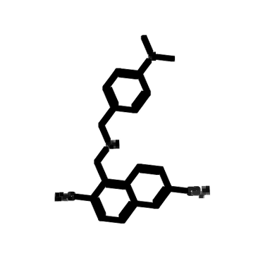 COc1ccc2cc(C(=O)O)ccc2c1CNCc1ccc(N(C)C)cc1